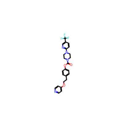 O=C(Oc1ccc(CCOc2ccncc2)cc1)N1CCN(c2ccc(C(F)(F)F)cn2)CC1